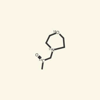 C[13C](=O)C[15N]1CC[18O]CC1